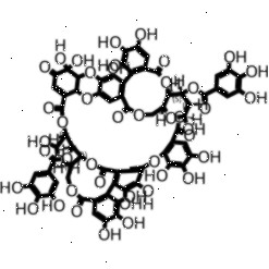 O=C1O[C@H]2C(O)O[C@@H]3COC(=O)c4cc(O)c(O)c(O)c4-c4c(cc(c(O)c4O)Oc4c(cc(O)c(O)c4O)C(=O)O[C@@H]4[C@@H](OC(=O)c5cc(O)c(O)c(O)c5)[C@@H]5OC(=O)c6cc(O)c(O)c(O)c6-c6c(cc7c(c6O)OC6C(O7)C1=CC(=O)C6(O)O)C(=O)OC[C@H]5O[C@@H]4O)C(=O)O[C@H]3[C@@H]2OC(=O)c1cc(O)c(O)c(O)c1